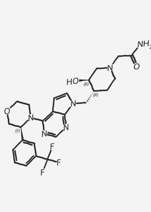 NC(=O)CN1CC[C@H](Cn2ccc3c(N4CCOC[C@@H]4c4cccc(C(F)(F)F)c4)ncnc32)[C@@H](O)C1